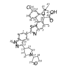 Cc1cc2nc(-c3ccc4c(c3)c(C3CCN([C@@H]5CCOC5)CC3)nn4C)sc2c(-c2ccc(Cl)cc2)c1C(OC(C)(C)C)C(=O)O